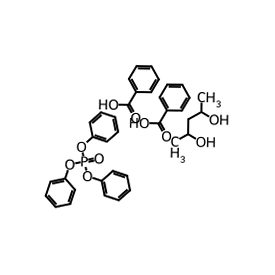 CC(O)CC(C)O.O=C(O)c1ccccc1.O=C(O)c1ccccc1.O=P(Oc1ccccc1)(Oc1ccccc1)Oc1ccccc1